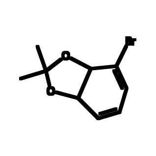 CC1(C)OC2C=CC=C(Br)C2O1